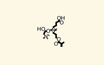 C=C(C)C(=O)OCCC[N+](C)(C)CCCC(=O)O.C[N+](C)(C)CC(=O)O